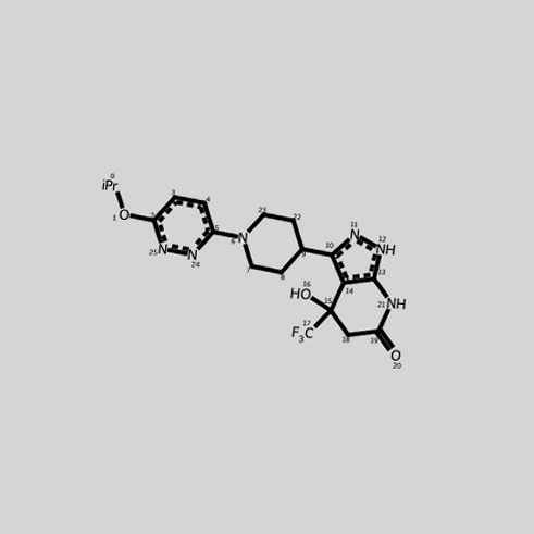 CC(C)Oc1ccc(N2CCC(c3n[nH]c4c3C(O)(C(F)(F)F)CC(=O)N4)CC2)nn1